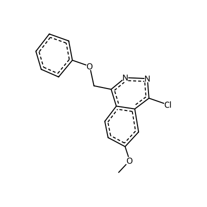 COc1ccc2c(COc3ccccc3)nnc(Cl)c2c1